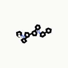 C1=C=c2c(c3cc(-c4ccc5c(c4)c4ccccc4n5-c4cccc(-c5ccccc5)c4)ccc3n2-c2ccccc2)=CC=1